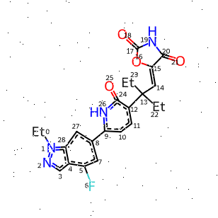 CCn1ncc2c(F)cc(-c3ccc(C(/C=C4\OC(=O)NC4=O)(CC)CC)c(=O)[nH]3)cc21